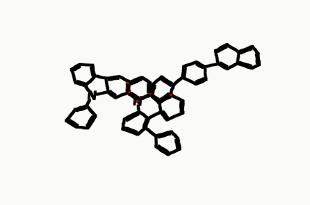 c1ccc(-c2ccccc2-c2c(-c3ccccc3)cccc2N(c2ccc(-c3ccc(-c4ccc5ccccc5c4)cc3)cc2)c2ccc3c4ccccc4n(-c4ccccc4)c3c2)cc1